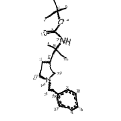 CC(C)(C)OC(=O)NC(C)(C)C1CCN(Cc2ccccc2)C1